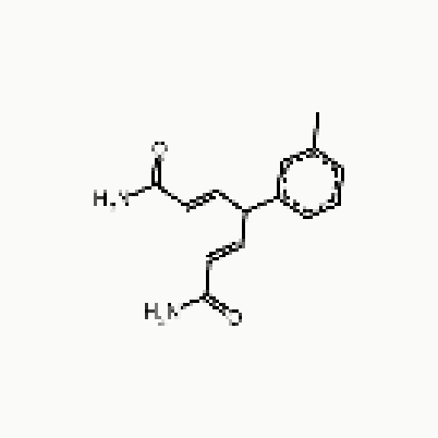 Cc1cccc(C(C=CC(N)=O)C=CC(N)=O)c1